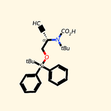 C#C[C@@H](CO[Si](c1ccccc1)(c1ccccc1)C(C)(C)C)N(C(=O)O)C(C)(C)C